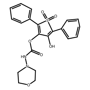 O=C(NN1CCOCC1)OC1=C(c2ccccc2)S(=O)(=O)C(c2ccccc2)=C1O